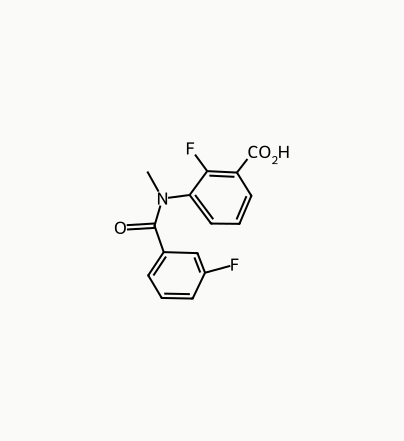 CN(C(=O)c1cccc(F)c1)c1cccc(C(=O)O)c1F